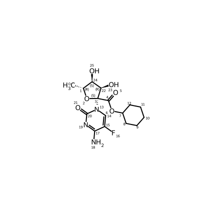 C[C@H]1O[C@@](C(=O)OC2CCCCC2)(n2cc(F)c(N)nc2=O)[C@H](O)[C@@H]1O